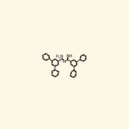 N=C(/N=C(\N)c1cc(-c2ccccc2)cc(-c2ccccc2)c1)c1cc(-c2ccccc2)cc(-c2ccccc2)c1